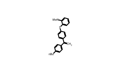 C=C(c1ccc(CCCC)cc1)c1ccc(Sc2ccccc2NC)cc1